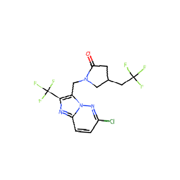 O=C1CC(CC(F)(F)F)CN1Cc1c(C(F)(F)F)nc2ccc(Cl)nn12